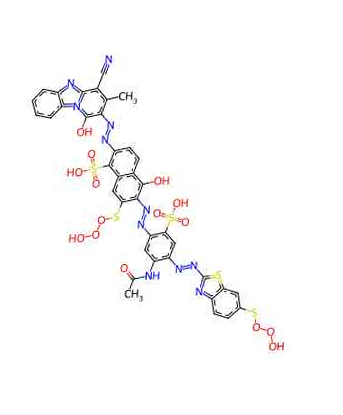 CC(=O)Nc1cc(N=Nc2c(SOOO)cc3c(S(=O)(=O)O)c(N=Nc4c(C)c(C#N)c5nc6ccccc6n5c4O)ccc3c2O)c(S(=O)(=O)O)cc1N=Nc1nc2ccc(SOOO)cc2s1